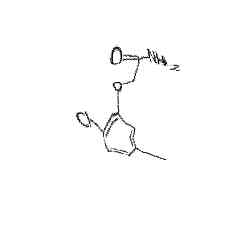 Cc1ccc(Cl)c(OCC(N)=O)c1